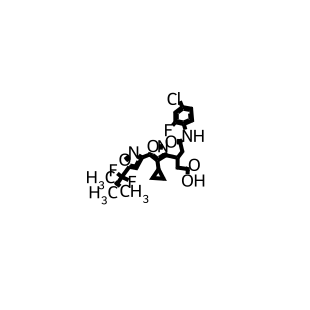 CC(C)(C)C(F)(F)c1cc(-c2onc(C(CC(=O)O)CC(=O)Nc3ccc(Cl)cc3F)c2C2CC2)no1